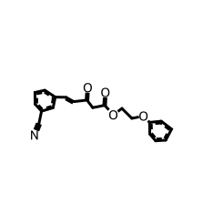 N#Cc1cccc(C=CC(=O)CC(=O)OCCOc2ccccc2)c1